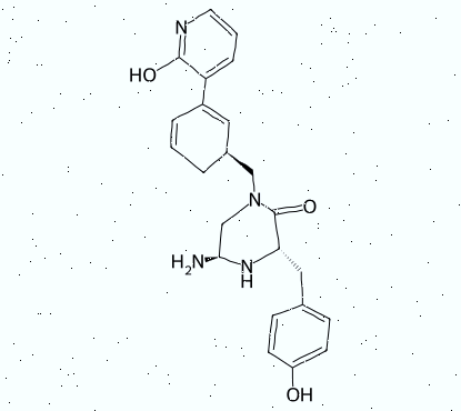 N[C@H]1CN(C[C@@H]2C=C(c3cccnc3O)C=CC2)C(=O)[C@H](Cc2ccc(O)cc2)N1